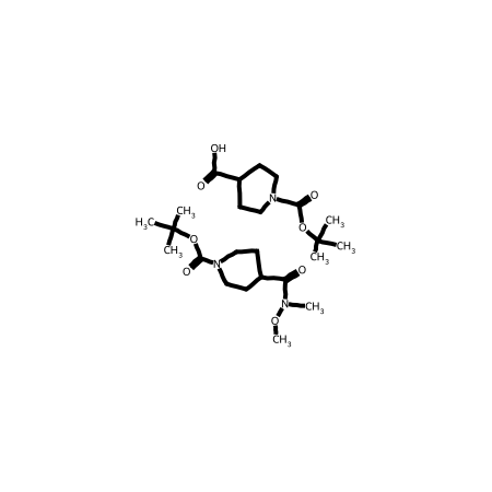 CC(C)(C)OC(=O)N1CCC(C(=O)O)CC1.CON(C)C(=O)C1CCN(C(=O)OC(C)(C)C)CC1